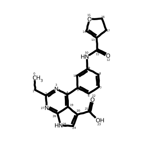 CCc1nc(-c2cccc(NC(=O)C3=COCC3)c2)c2c(C(=O)O)c[nH]c2n1